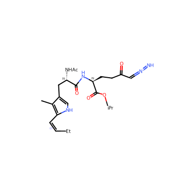 CC/C=C\c1[nH]cc(C[C@H](NC(C)=O)C(=O)N[C@@H](CCC(=O)C=[N+]=N)C(=O)OC(C)C)c1C